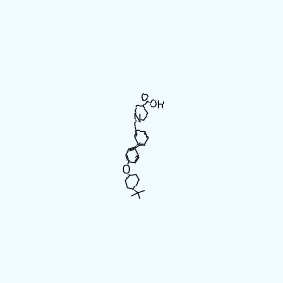 CC(C)(C)[C@H]1CC[C@H](Oc2ccc(-c3cccc(CN4CCC(C(=O)O)CC4)c3)cc2)CC1